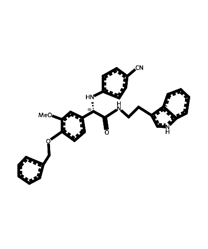 COc1cc([C@H](Nc2ccc(C#N)cc2)C(=O)NCCc2c[nH]c3ccccc23)ccc1OCc1ccccc1